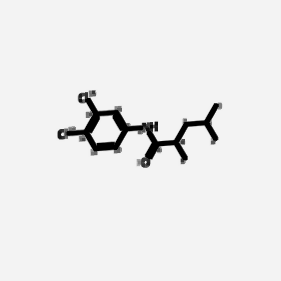 CC(C)CC(C)C(=O)Nc1ccc(Cl)c(Cl)c1